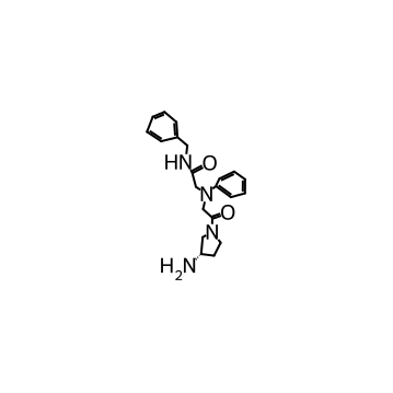 N[C@H]1CCN(C(=O)CN(CC(=O)NCc2ccccc2)c2ccccc2)C1